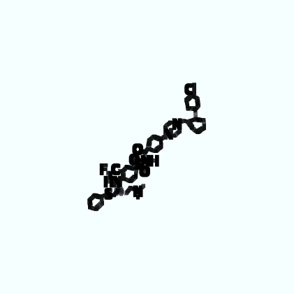 CN(C)CC[C@H](CSc1ccccc1)Nc1ccc(S(=O)(=O)NC(=O)c2ccc(N3CCN(Cc4ccccc4-c4ccc(Cl)cc4)CC3)cc2)cc1C(F)(F)F